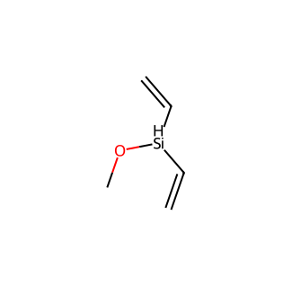 C=C[SiH](C=C)OC